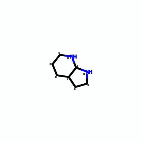 C1CN[C]2NCCC2C1